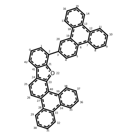 c1cc(-c2ccc3c4ccccc4c4ccccc4c3c2)c2oc3c(ccc4c5ccccc5c5ccccc5c43)c2c1